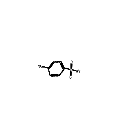 CCCS(=O)(=O)c1ccc(C(C)(C)C)cc1